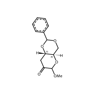 COC1O[C@@H]2COC(c3ccccc3)O[C@H]2CC1=O